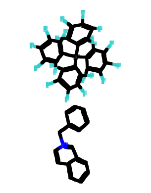 Fc1c(F)c(F)c([B-](c2c(F)c(F)c(F)c(F)c2F)(c2c(F)c(F)c(F)c(F)c2F)c2c(F)c(F)c(F)c(F)c2F)c(F)c1F.c1ccc(C[n+]2ccc3ccccc3c2)cc1